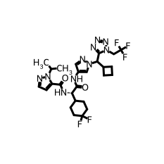 CC(C)n1nccc1C(=O)N[C@H](C(=O)Nc1cnn(C(c2nnnn2CC(F)(F)F)C2CCC2)c1)C1CCC(F)(F)CC1